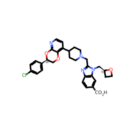 O=C(O)c1ccc2nc(CN3CCC(c4ccnc5c4OC[C@@H](c4ccc(Cl)cc4)O5)CC3)n(C[C@@H]3CCO3)c2c1